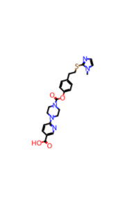 Cn1ccnc1SCCc1ccc(OC(=O)N2CCN(c3ccc(C(=O)O)cn3)CC2)cc1